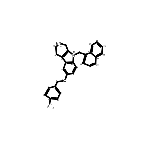 FC(F)(F)c1ccc(COc2ccc3c(c2)c2c(n3Cc3cccc4ccccc34)CNCC2)cc1